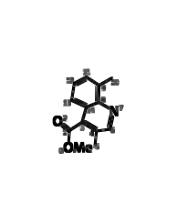 COC(=O)c1c(C)cnc2c(C)cccc12